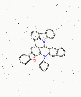 c1ccc(N2c3cc4ccccc4cc3B3c4c(cc5c(oc6ccccc65)c42)-c2cccc4c5ccccc5n3c24)cc1